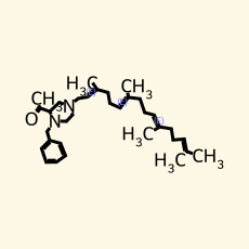 CC(=O)C1CN(C/C=C(\C)CC/C=C(\C)CC/C=C(\C)CCC=C(C)C)CCN1Cc1ccccc1